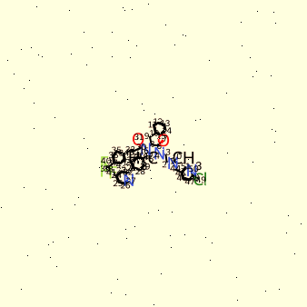 CN(CCN(C)C(=O)C(Cc1ccccc1)N(Cc1ccc(-c2ccccn2)cc1)C(=O)C=Cc1ccc(C(F)(F)F)cc1)Cc1ccc(Cl)nc1